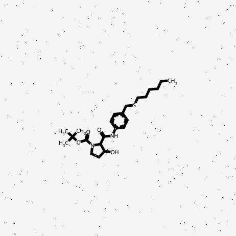 CCCCCCSCc1ccc(NC(=O)C2C(O)CCN2C(=O)OC(C)(C)C)cc1